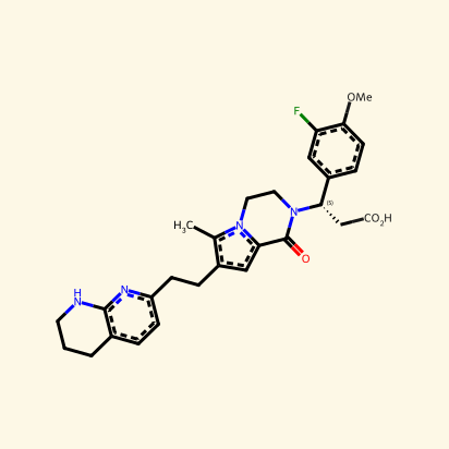 COc1ccc([C@H](CC(=O)O)N2CCn3c(cc(CCc4ccc5c(n4)NCCC5)c3C)C2=O)cc1F